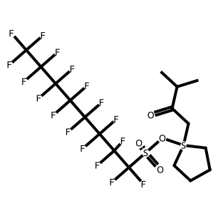 CC(C)C(=O)CS1(OS(=O)(=O)C(F)(F)C(F)(F)C(F)(F)C(F)(F)C(F)(F)C(F)(F)C(F)(F)C(F)(F)F)CCCC1